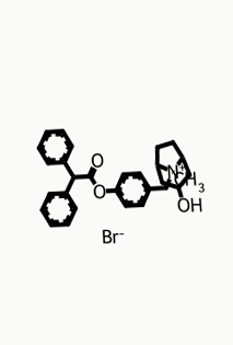 C[N+]1(Cc2ccc(OC(=O)C(c3ccccc3)c3ccccc3)cc2)C2CCC1CC(O)C2.[Br-]